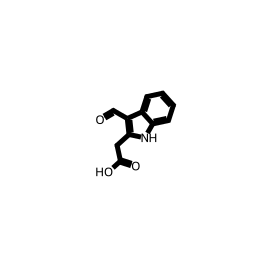 O=Cc1c(CC(=O)O)[nH]c2ccccc12